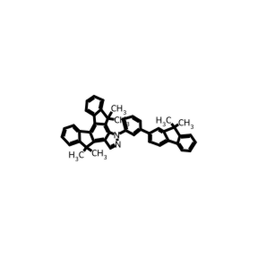 CC1(C)c2ccccc2-c2ccc(-c3cccc(-n4ncc5c6c(c7c(c54)C(C)(C)c4ccccc4-7)-c4ccccc4C6(C)C)c3)cc21